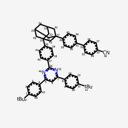 CC(C)(C)c1ccc(-c2cc(-c3ccc(C(C)(C)C)cc3)nc(-c3ccc(C45CC6CC(CC(c7ccc(-c8ccc(C#N)cc8)cc7)(C6)C4)C5)cc3)n2)cc1